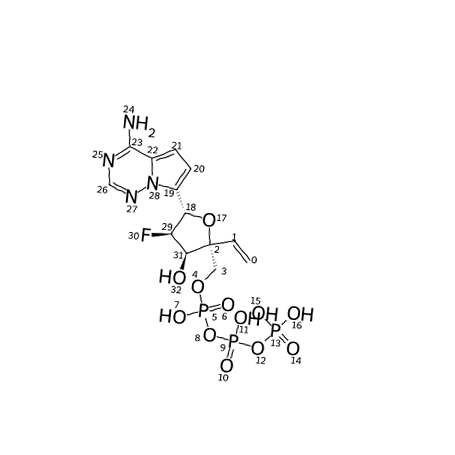 C=C[C@]1(COP(=O)(O)OP(=O)(O)OP(=O)(O)O)O[C@@H](c2ccc3c(N)ncnn23)[C@H](F)[C@@H]1O